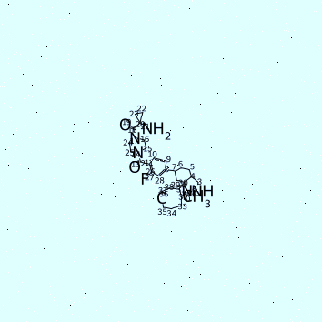 CN1NCC2CCC(c3ccc(C(=O)N4CCN(C(=O)C5(N)CC5)CC4)c(F)c3)CC21C1CCCCCCC1